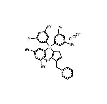 CC(C)c1cc(C(C)C)cc([Si](C2=[C]([Ti+3])C(Cc3ccccc3)=CC2)(c2cc(C(C)C)cc(C(C)C)c2)c2cc(C(C)C)cc(C(C)C)c2)c1.[Cl-].[Cl-].[Cl-]